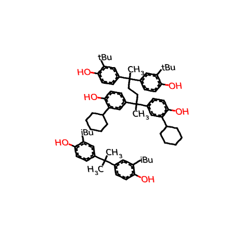 CC(C)(C)c1cc(C(C)(CCC(C)(c2ccc(O)c(C3CCCCC3)c2)c2ccc(O)c(C3CCCCC3)c2)c2ccc(O)c(C(C)(C)C)c2)ccc1O.CCC(C)c1cc(C(C)(C)c2ccc(O)c(C(C)CC)c2)ccc1O